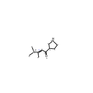 C/C(=C\C(=O)C1CCNC1)N(C)C